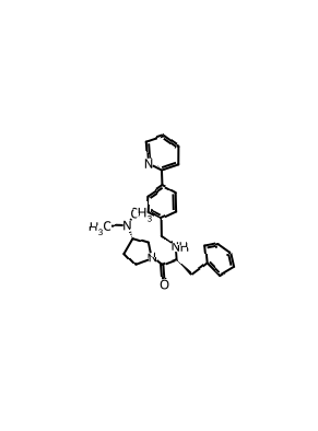 CN(C)[C@H]1CCN(C(=O)[C@H](Cc2ccccc2)NCc2ccc(-c3ccccn3)cc2)C1